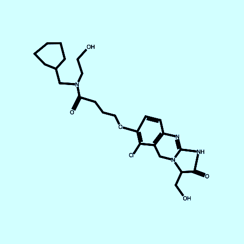 O=C1NC2=Nc3ccc(OCCCC(=O)N(CCO)CC4CCCCC4)c(Cl)c3CN2C1CO